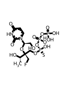 C[C@H](O)[C@@](CF)(COP(O)(=S)OP(=O)(O)OP(=O)(O)O)O[C@H](CO)n1ccc(=O)[nH]c1=O